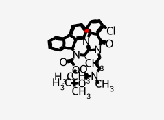 COC(=O)N(C1c2ccccc2-c2ccccc21)[C@@H](C)c1nc2cccc(Cl)c2c(=O)n1CCCN(C)C(=O)OC(C)(C)C